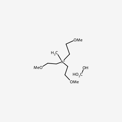 COCC[N+](C)(CCOC)CCOC.O=C(O)O